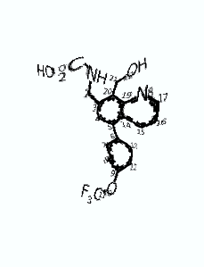 O=C(O)NCc1cc(-c2ccc(OC(F)(F)F)cc2)c2cccnc2c1CO